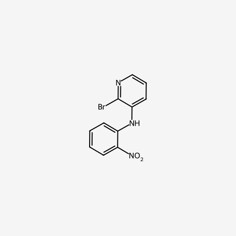 O=[N+]([O-])c1ccccc1Nc1cccnc1Br